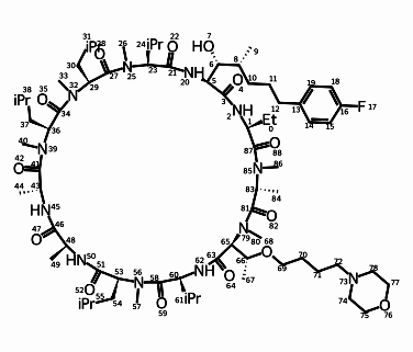 CC[C@@H]1NC(=O)[C@H]([C@H](O)[C@H](C)CCCc2ccc(F)cc2)NC(=O)[C@H](C(C)C)N(C)C(=O)[C@H](CC(C)C)N(C)C(=O)[C@H](CC(C)C)N(C)C(=O)[C@@H](C)NC(=O)[C@H](C)NC(=O)[C@H](CC(C)C)N(C)C(=O)[C@H](C(C)C)NC(=O)[C@H]([C@@H](C)OCCCCN2CCOCC2)N(C)C(=O)[C@@H](C)N(C)C1=O